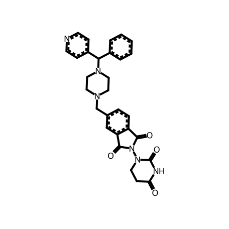 O=C1CCN(N2C(=O)c3ccc(CN4CCN(C(c5ccccc5)c5ccncc5)CC4)cc3C2=O)C(=O)N1